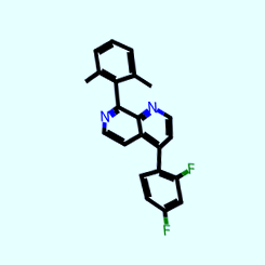 Cc1cccc(C)c1-c1nccc2c(-c3ccc(F)cc3F)ccnc12